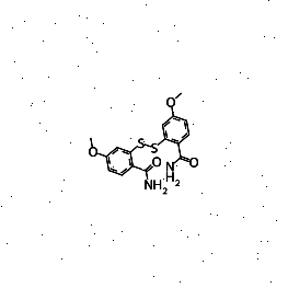 COc1ccc(C(N)=O)c(SSc2cc(OC)ccc2C(N)=O)c1